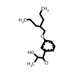 CCCC(CCC)COc1cccc(C(Cl)C(C)O)c1